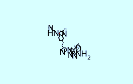 CCc1cc(NCCN(C)C)c2ccc(CCc3cncc(-n4cc([C@H]5CCCO5)c5c(N)ncnc54)c3)cc2n1